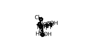 Cc1cc(-c2cccc(Cl)c2)nc2c(=O)n(CC(=O)C[C@H]3NCCC[C@@H]3O)cnc12.O=C(O)C(F)(F)F.O=C(O)C(F)(F)F